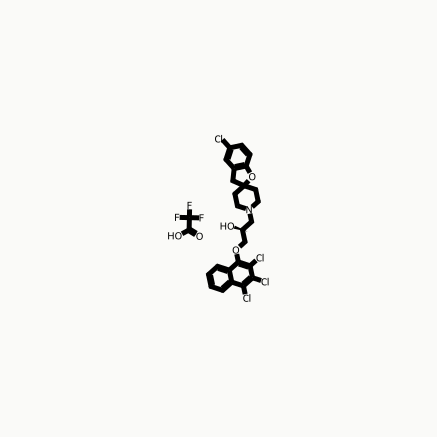 O=C(O)C(F)(F)F.O[C@H](COc1c(Cl)c(Cl)c(Cl)c2ccccc12)CN1CCC2(CC1)Cc1cc(Cl)ccc1O2